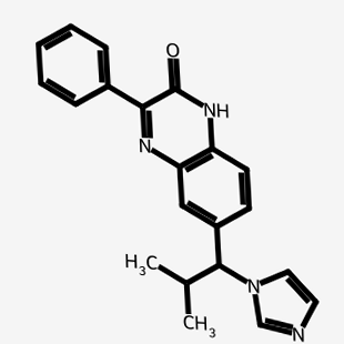 CC(C)C(c1ccc2[nH]c(=O)c(-c3ccccc3)nc2c1)n1ccnc1